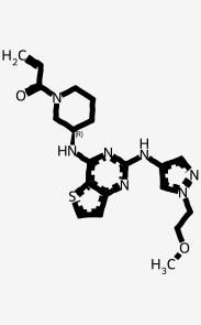 C=CC(=O)N1CCC[C@@H](Nc2nc(Nc3cnn(CCOC)c3)nc3ccsc23)C1